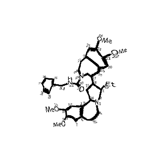 CCC1CN2CCc3cc(OC)c(OC)cc3C2CC1C1Cc2cc(OC)c(OC)cc2CCN1C(=O)NCc1ccccc1